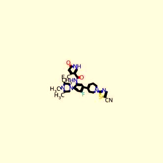 CC1CN(c2cc(F)c(C3=CCCN(c4ncc(C#N)s4)CC3)cc2NC(=O)c2c[nH]c(=O)cc2C(F)(F)F)CC(C)N1C